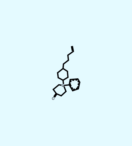 C=CCCCC1CCC([Si]2(c3ccccc3)CCC(=O)CC2)CC1